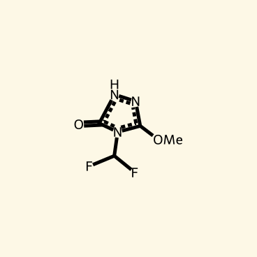 COc1n[nH]c(=O)n1C(F)F